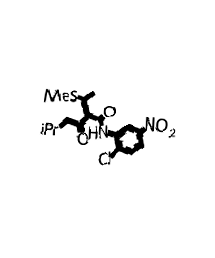 CS/C(C)=C(\C(=O)CC(C)C)C(=O)Nc1cc([N+](=O)[O-])ccc1Cl